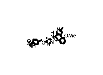 COc1cccc(F)c1-c1cc(C)ncc1C(=O)Nc1nnc(OCc2ccc([S@](C)(=N)=O)cc2)s1